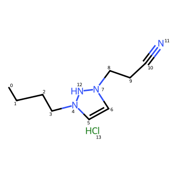 CCCCN1C=CN(CCC#N)N1.Cl